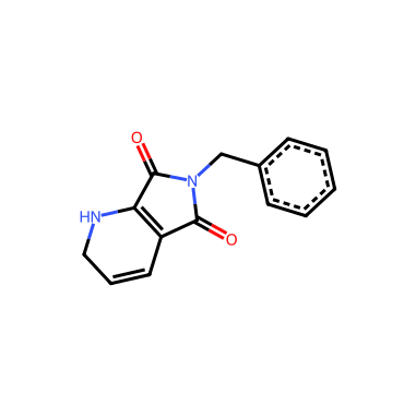 O=C1C2=C(NCC=C2)C(=O)N1Cc1ccccc1